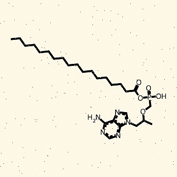 CCCCCCCCCCCCCCCCCC(=O)OP(=O)(O)COC(C)Cn1cnc2c(N)ncnc21